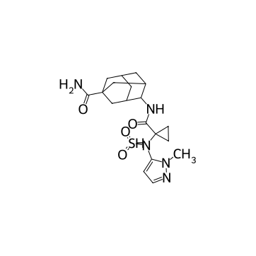 Cn1nccc1N([SH](=O)=O)C1(C(=O)NC2C3CC4CC2CC(C(N)=O)(C4)C3)CC1